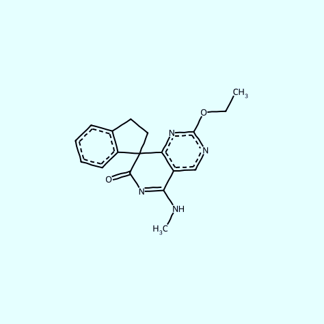 CCOc1ncc2c(n1)C1(CCc3ccccc31)C(=O)N=C2NC